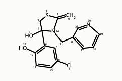 C=C1SCC(O)(c2cc(Cl)ccc2O)N1Cc1cccnc1